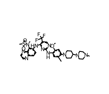 COc1cc(N2CCC(N3CCN(C)CC3)CC2)c(C)cc1Nc1ncc(C(F)(F)F)c(Nc2ccc3nccnc3c2N(C)S(C)(=O)=O)n1